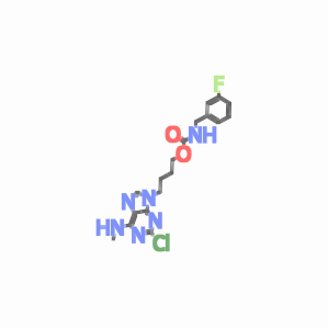 CNc1nc(Cl)nc2c1ncn2CCCCOC(=O)NCc1cccc(F)c1